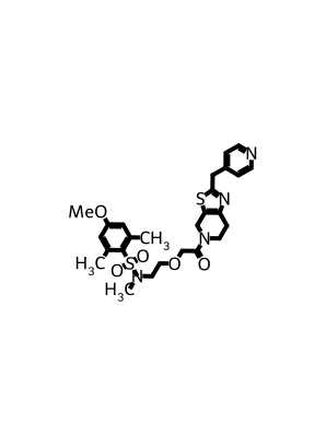 COc1cc(C)c(S(=O)(=O)N(C)CCOCC(=O)N2CCc3nc(Cc4ccncc4)sc3C2)c(C)c1